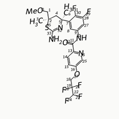 COC[C@@]1(C)C[C@@](C)(c2cc(NC(=O)c3ccc(OCC(F)(F)C(F)F)cn3)cc(F)c2F)N=C(N)S1